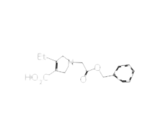 CCC1=C(C(=O)O)CN(CC(=O)OCc2ccccc2)C1